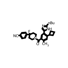 CCCCc1ncc(-c2cc(C(=O)N3CCC(F)(c4ccc(C#N)cc4)CC3)c(C)cc2C2CCC2)[nH]1